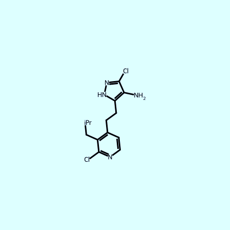 CC(C)Cc1c(CCc2[nH]nc(Cl)c2N)ccnc1Cl